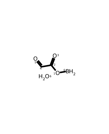 BOC(=O)C=O.O